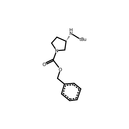 CC(C)(C)N[C@H]1CCN(C(=O)OCc2ccccc2)C1